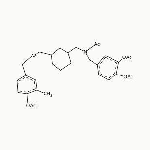 CC(=O)Oc1ccc([CH2][Ac][CH2]C2CCCC(CN(Cc3ccc(OC(C)=O)c(OC(C)=O)c3)C(C)=O)C2)cc1C